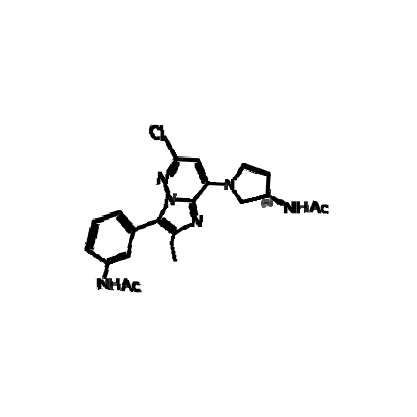 CC(=O)Nc1cccc(-c2c(C)nc3c(N4CC[C@@H](NC(C)=O)C4)cc(Cl)nn23)c1